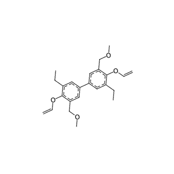 C=COc1c(CC)cc(-c2cc(CC)c(OC=C)c(COC)c2)cc1COC